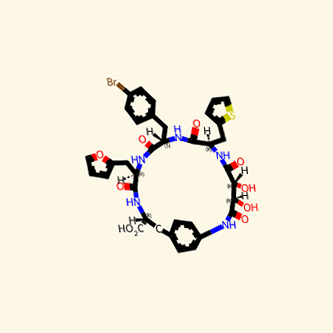 O=C1N[C@H](Cc2ccco2)C(=O)N[C@@H](C(=O)O)Cc2ccc(cc2)NC(=O)[C@H](O)[C@@H](O)C(=O)N[C@H](Cc2cccs2)C(=O)N[C@H]1Cc1ccc(Br)cc1